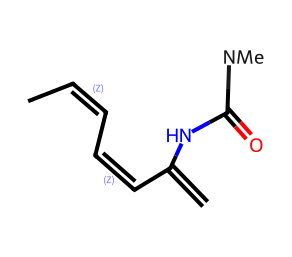 C=C(/C=C\C=C/C)NC(=O)NC